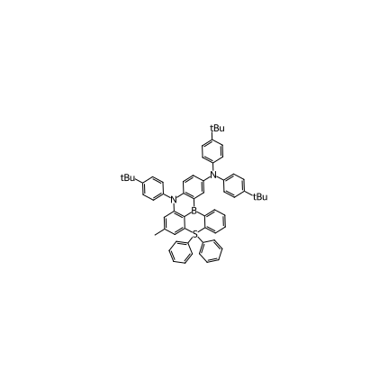 Cc1cc2c3c(c1)S(c1ccccc1)(c1ccccc1)c1ccccc1B3c1cc(N(c3ccc(C(C)(C)C)cc3)c3ccc(C(C)(C)C)cc3)ccc1N2c1ccc(C(C)(C)C)cc1